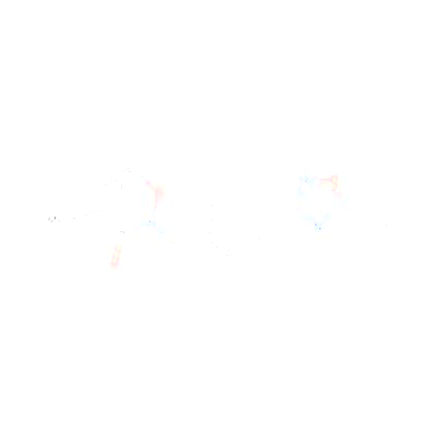 CCCON(Cc1ccc(-c2noc(C(F)(F)F)n2)cc1)C(=O)C(C)OC